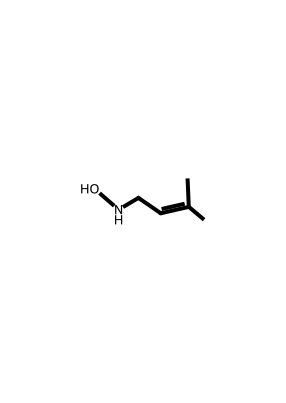 CC(C)=CCNO